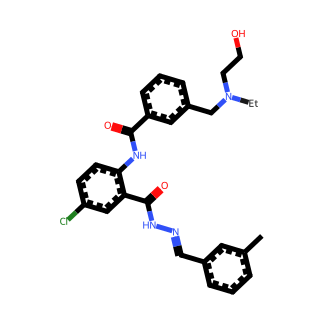 CCN(CCO)Cc1cccc(C(=O)Nc2ccc(Cl)cc2C(=O)NN=Cc2cccc(C)c2)c1